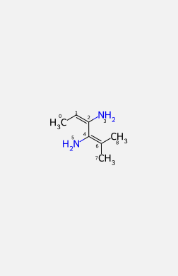 C/C=C(/N)C(N)=C(C)C